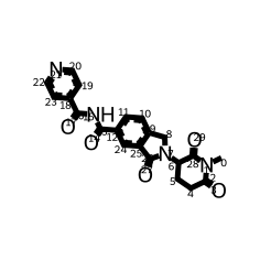 CN1C(=O)CCC(N2Cc3ccc(C(=O)NC(=O)c4ccncc4)cc3C2=O)C1=O